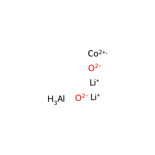 [AlH3].[Co+2].[Li+].[Li+].[O-2].[O-2]